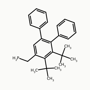 CC(C)(C)c1c(CP)cc(-c2ccccc2)c(-c2ccccc2)c1C(C)(C)C